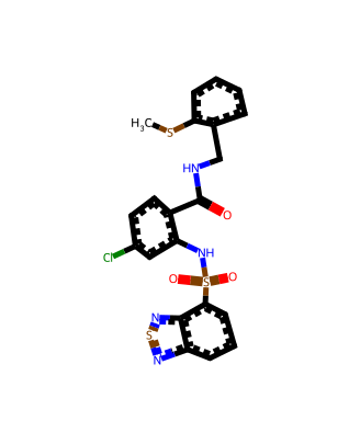 CSc1ccccc1CNC(=O)c1ccc(Cl)cc1NS(=O)(=O)c1cccc2nsnc12